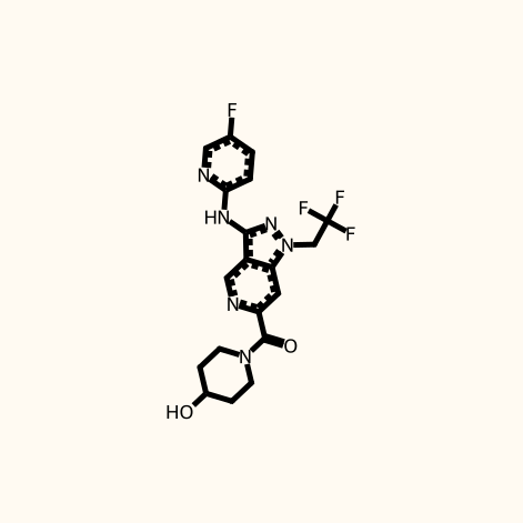 O=C(c1cc2c(cn1)c(Nc1ccc(F)cn1)nn2CC(F)(F)F)N1CCC(O)CC1